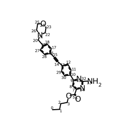 CCCCOC(=O)c1cc(-c2ccc(C#Cc3ccc(CN4CCOCC4)cc3)cc2)nc(N)n1